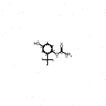 CC(C)(C)c1cc(O)ccc1OC(N)=O